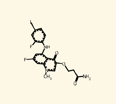 Cn1cc(OCCC(N)=O)c(=O)c2c(Nc3ccc(I)cc3F)cc(F)cc21